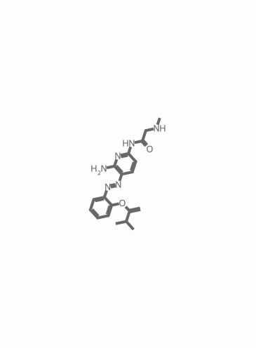 C=C(Oc1ccccc1/N=N/c1ccc(NC(=O)CNC)nc1N)C(C)C